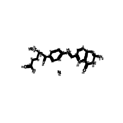 Nc1nc2ncc(CNc3ccc(C(=O)N[C@@H](CC[C](=O)[Zn])C(=O)O)cc3)nc2c(=O)[nH]1.[Ni]